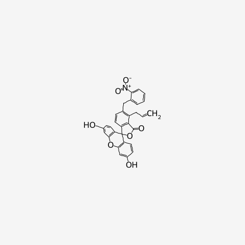 C=CCc1c(Cc2ccccc2[N+](=O)[O-])ccc2c1C(=O)OC21c2ccc(O)cc2Oc2cc(O)ccc21